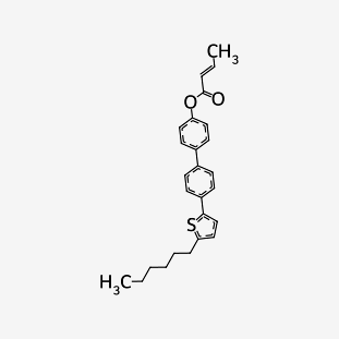 CC=CC(=O)Oc1ccc(-c2ccc(-c3ccc(CCCCCC)s3)cc2)cc1